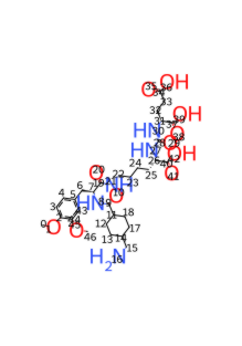 COc1ccc(C[C@H](NC(=O)C2CCC(CN)CC2)C(=O)NCCCC[C@H](NC(=O)N[C@@H](CCC(=O)O)C(=O)O)C(=O)O)cc1OC